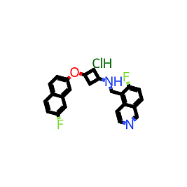 Cl.Fc1ccc2ccc(OC3CC(NCc4c(F)ccc5cnccc45)C3)cc2c1